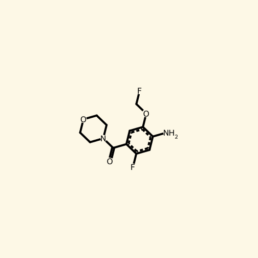 Nc1cc(F)c(C(=O)N2CCOCC2)cc1OCF